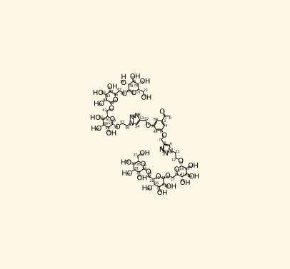 CC(=O)c1cc(OCc2cn(CCO[C@H]3O[C@H](CO[C@@H]4O[C@H](CO[C@@H]5O[C@H](CO)[C@@H](O)[C@H](O)[C@H]5O)[C@@H](O)[C@H](O)[C@H]4O)[C@@H](O)[C@H](O)[C@H]3O)nn2)cc(OCc2cn(CCO[C@H]3O[C@H](CO[C@@H]4O[C@H](CO[C@@H]5O[C@H](CO)[C@@H](O)[C@H](O)[C@H]5O)[C@@H](O)[C@H](O)[C@H]4O)[C@@H](O)[C@H](O)[C@H]3O)nn2)c1